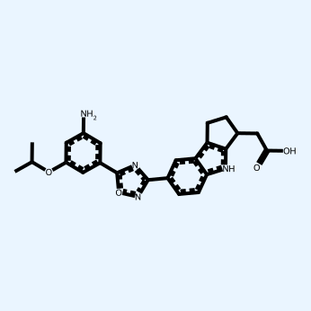 CC(C)Oc1cc(N)cc(-c2nc(-c3ccc4[nH]c5c(c4c3)CCC5CC(=O)O)no2)c1